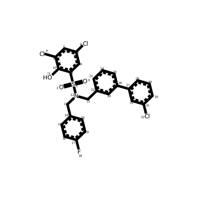 O=S(=O)(c1cc(Cl)cc(Cl)c1O)N(Cc1ccc(F)cc1)Cc1cccc(-c2cccc(Cl)c2)c1